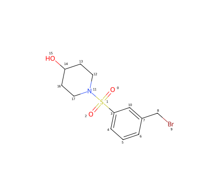 O=S(=O)(c1cccc(CBr)c1)N1CCC(O)CC1